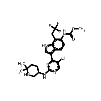 COC(=O)Nc1ccc2c(-c3nc(NC4CCC(C)(C)NC4)ncc3Cl)c[nH]c2c1CC(F)(F)F